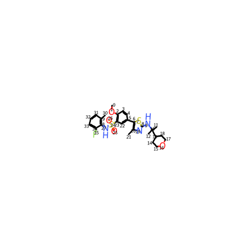 COc1ccc(-c2sc(NC(C)(C)C3CCOCC3)nc2C)cc1S(=O)(=O)Nc1c(C)cccc1F